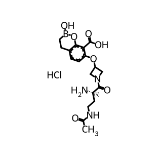 CC(=O)NCC[C@H](N)C(=O)N1CC(Oc2ccc3c(c2C(=O)O)OB(O)CC3)C1.Cl